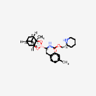 Cc1ccc(C[C@H](NC(=O)OC[C@H]2CCCCN2)B2O[C@@H]3C[C@@H]4C[C@@H](C4(C)C)[C@]3(C)O2)cc1